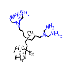 CCC(C)([SiH3])CC[Si](C)(CCCN(CN)CN)CCCN(CN)CN